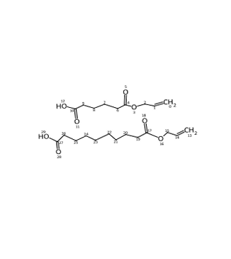 C=CCOC(=O)CCCCC(=O)O.C=CCOC(=O)CCCCCCCCC(=O)O